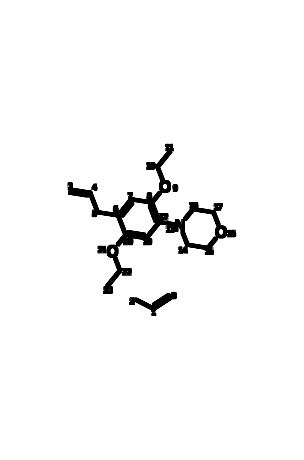 C=CC.C=CCc1cc(OCC)c(N2CCOCC2)cc1OCC